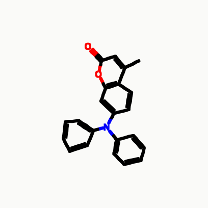 Cc1cc(=O)oc2cc(N(c3ccccc3)c3ccccc3)ccc12